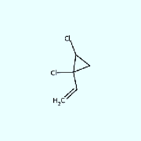 C=CC1(Cl)CC1Cl